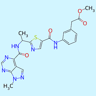 COC(=O)Cc1cccc(NC(=O)c2cnc(C(C)NC(=O)c3ncnc4c3cnn4C)s2)c1